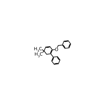 CC1(C)C=CC(OCc2ccccc2)=C(c2ccccc2)C1